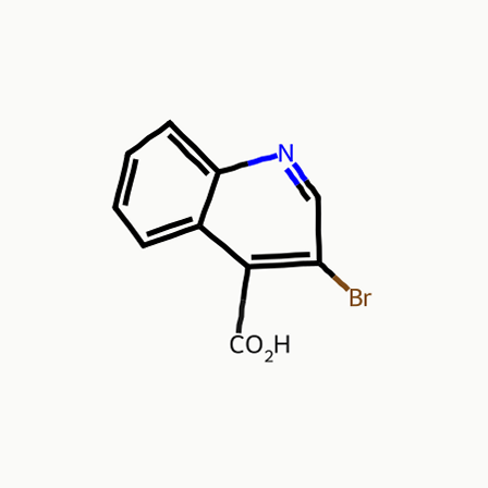 O=C(O)c1c(Br)cnc2ccccc12